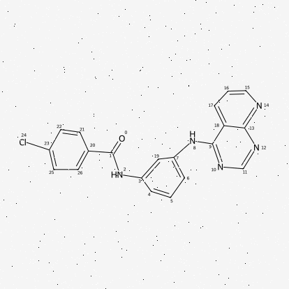 O=C(Nc1cccc(Nc2ncnc3ncccc23)c1)c1ccc(Cl)cc1